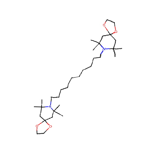 CC1(C)CC2(CC(C)(C)N1CCCCCCCCCCN1C(C)(C)CC3(CC1(C)C)OCCO3)OCCO2